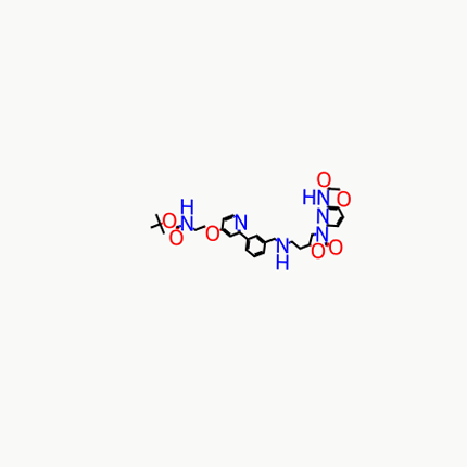 CC(C)(C)OC(=O)NCCOc1ccnc(-c2cccc(CNCCC3CN(c4ccc5c(n4)NC(=O)CO5)C(=O)O3)c2)c1